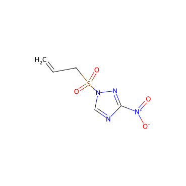 C=CCS(=O)(=O)n1cnc([N+](=O)[O-])n1